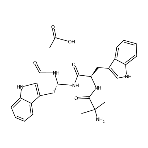 CC(=O)O.CC(C)(N)C(=O)N[C@H](Cc1c[nH]c2ccccc12)C(=O)N[C@H](Cc1c[nH]c2ccccc12)NC=O